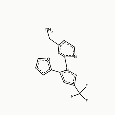 NCc1ccnc(-n2nc(C(F)(F)F)cc2-c2ccco2)c1